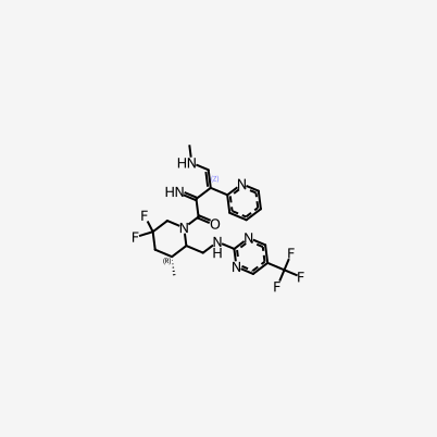 CN/C=C(\C(=N)C(=O)N1CC(F)(F)C[C@@H](C)C1CNc1ncc(C(F)(F)F)cn1)c1ccccn1